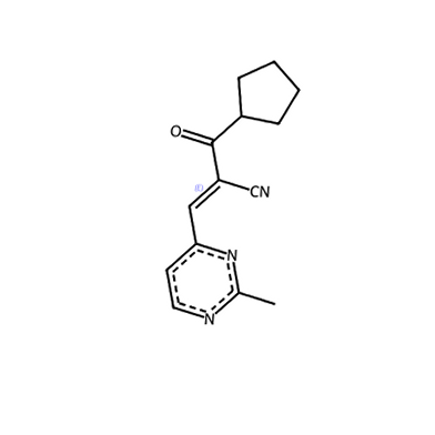 Cc1nccc(/C=C(\C#N)C(=O)C2CCCC2)n1